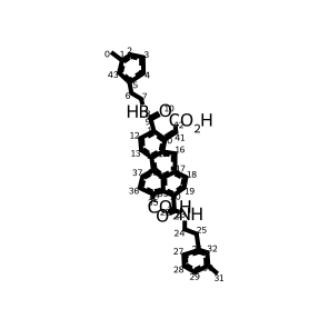 Cc1cccc(CCBC(=O)c2ccc3c(cc4ccc(C(=O)NCCc5cccc(C)c5)c5c(C(=O)O)ccc3c45)/c2=C/C(=O)O)c1